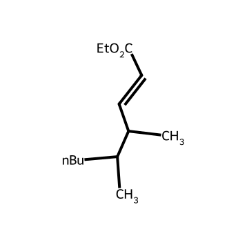 CCCCC(C)C(C)C=CC(=O)OCC